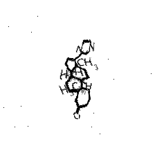 C[C@]12CCCC(=O)CC1=CC[C@@H]1[C@@H]2CC[C@]2(C)C(c3cnccn3)=CC[C@@H]12